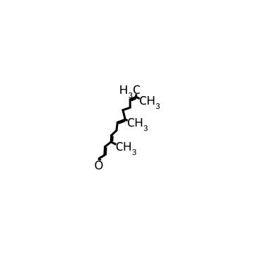 CC(C)=CCC/C(C)=C/C/C=C(C)/C=C/C=O